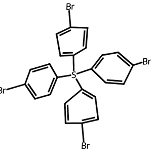 Brc1ccc(S(c2ccc(Br)cc2)(c2ccc(Br)cc2)c2ccc(Br)cc2)cc1